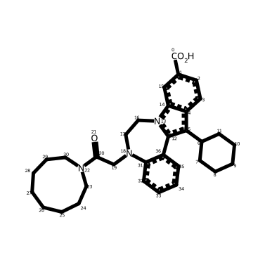 O=C(O)c1ccc2c(C3CCCCC3)c3n(c2c1)CCN(CC(=O)N1CCCCCCCC1)c1ccccc1-3